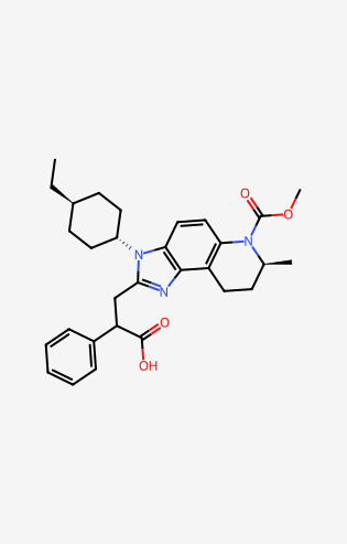 CC[C@H]1CC[C@H](n2c(CC(C(=O)O)c3ccccc3)nc3c4c(ccc32)N(C(=O)OC)[C@@H](C)CC4)CC1